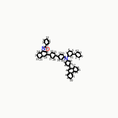 c1ccc(-c2cccc(N(c3ccc(-c4ccc(-c5cc6ccccc6c6nc(-c7ccccc7)oc56)cc4)cc3)c3ccc(-c4cc5ccccc5c5ccccc45)cc3)c2)cc1